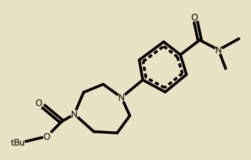 CN(C)C(=O)c1ccc(N2CCCN(C(=O)OC(C)(C)C)CC2)cc1